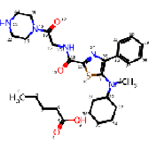 CCCCC(=O)O.CN(c1sc(C(=O)NCC(=O)N2CCNCC2)nc1-c1ccccc1)C1CCCCC1